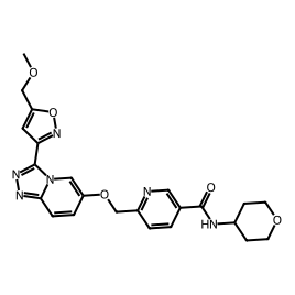 COCc1cc(-c2nnc3ccc(OCc4ccc(C(=O)NC5CCOCC5)cn4)cn23)no1